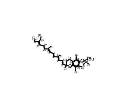 C/C(=C\CC/C(C)=C/CCC1(C)CCc2c(C)c(O[Si](C)(C)C(C)(C)C)c(C)c(C)c2O1)CCC=C(CF)CF